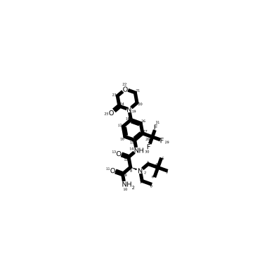 CCN(CC(C)(C)C)[C@H](C(N)=O)C(=O)Nc1ccc(N2CCOCC2=O)cc1C(F)(F)F